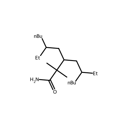 CCCCC(CC)CC(CC(CC)CCCC)C(C)(C)C(N)=O